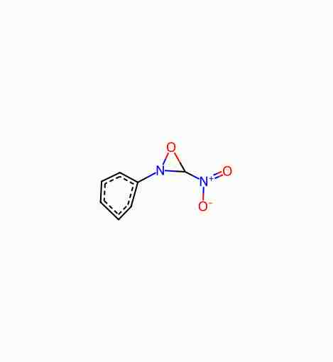 O=[N+]([O-])C1ON1c1ccccc1